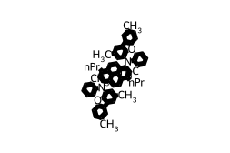 CCCc1cc(N(c2ccccc2C)c2cc(C)cc3c2oc2ccc(C)cc23)c2ccc3c(CCC)cc(N(c4ccccc4C)c4cc(C)cc5c4oc4ccc(C)cc45)c4ccc1c2c34